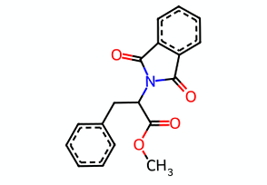 COC(=O)C(Cc1ccccc1)N1C(=O)c2ccccc2C1=O